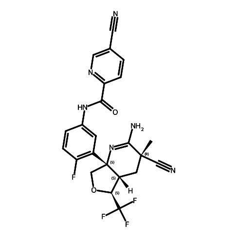 C[C@@]1(C#N)C[C@@H]2[C@@H](C(F)(F)F)OC[C@]2(c2cc(NC(=O)c3ccc(C#N)cn3)ccc2F)N=C1N